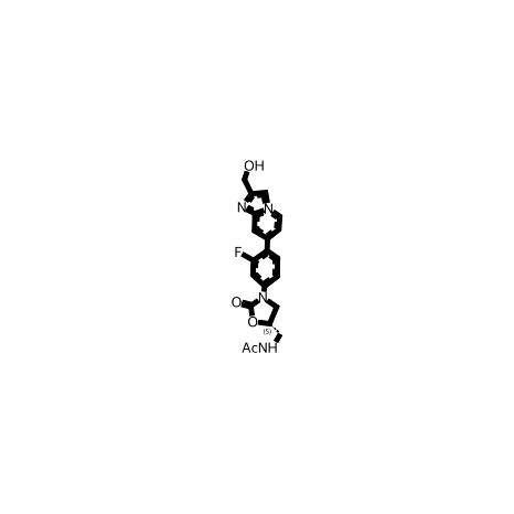 CC(=O)NC[C@H]1CN(c2ccc(-c3ccn4cc(CO)nc4c3)c(F)c2)C(=O)O1